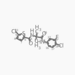 CC(C)(NC(=O)c1ccc(Cl)s1)C(=O)Nc1ccc(Cl)c(F)c1